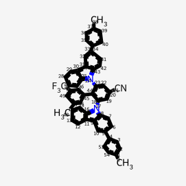 Cc1ccc(-c2ccc3c(c2)c2ccccc2n3-c2cc(C#N)cc(-n3c4ccccc4c4cc(-c5ccc(C)cc5)ccc43)c2-c2cc(C)cc(C(F)(F)F)c2)cc1